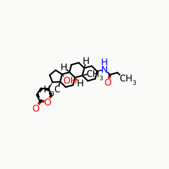 CCC(=O)N[C@H]1CC[C@@]2(C)[C@H](CC[C@@H]3[C@@H]2CC[C@]2(C)[C@@H](c4ccc(=O)oc4)CC[C@]32O)C1